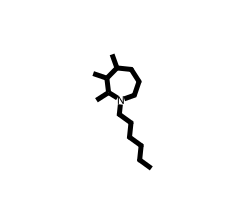 CCCCCCN1CCCC(C)C(C)C1C